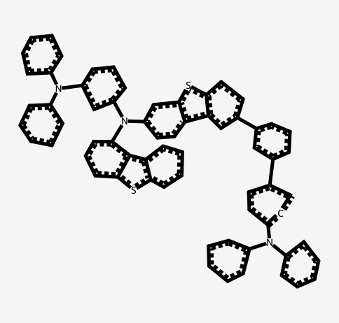 c1ccc(N(c2ccccc2)c2ccc(-c3cccc(-c4ccc5sc6cc(N(c7cccc(N(c8ccccc8)c8ccccc8)c7)c7cccc8sc9ccccc9c78)ccc6c5c4)c3)cc2)cc1